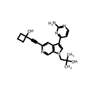 CC(C)(O)Cn1cc(-c2ccnc(N)n2)c2cc(C#CC3(O)CCC3)ncc21